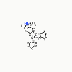 CNC.c1ccc([CH2][Lu]([CH2]c2ccccc2)[CH2]c2ccccc2)cc1